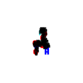 COCCCN1CCOc2ccc(COC3CNCCC3c3ccc(OCCOc4ccccc4F)cc3)cc21